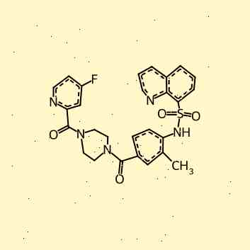 Cc1cc(C(=O)N2CCN(C(=O)c3cc(F)ccn3)CC2)ccc1NS(=O)(=O)c1cccc2cccnc12